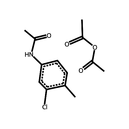 CC(=O)Nc1ccc(C)c(Cl)c1.CC(=O)OC(C)=O